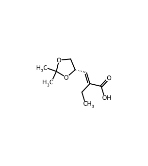 CC/C(=C\[C@H]1COC(C)(C)O1)C(=O)O